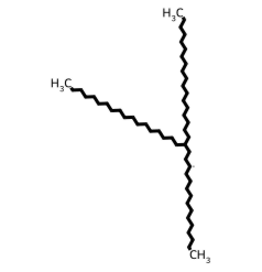 CCCCCCCCCCCC[CH]CCC(CCCCCCCCCCCCCCCCCC)CCCCCCCCCCCCCCCCCC